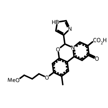 COCCCOc1cc2c(cc1C)-c1cc(=O)c(C(=O)O)cn1C(C1=CBC=N1)O2